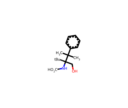 CC(C)(C)C(CO)(NC(=O)O)C(C)(C)c1ccccc1